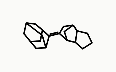 C1CC2C3CC(=C4C5CC6CC(C5)CC4C6)C(C3)C2C1